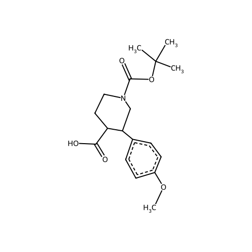 COc1ccc(C2CN(C(=O)OC(C)(C)C)CCC2C(=O)O)cc1